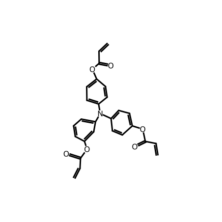 C=CC(=O)Oc1ccc(N(c2ccc(OC(=O)C=C)cc2)c2cccc(OC(=O)C=C)c2)cc1